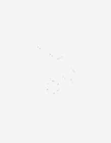 CCN1CCN(C(=O)OC2C3=C(SCCS3)C(=O)N2c2ccc(Cl)cn2)CC1